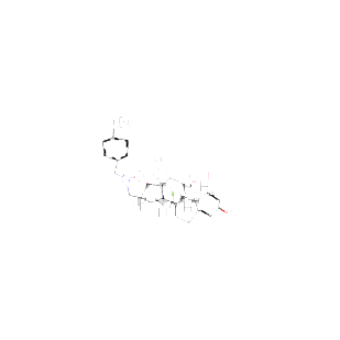 CC(C)(C)c1ccc(CN2C[C@@H]3C[C@H]4[C@@H]5CCC6=CC(=O)C=C[C@]6(C)[C@@]5(F)[C@@H](O)C[C@]4(C)[C@]3(C(=O)O)O2)cc1